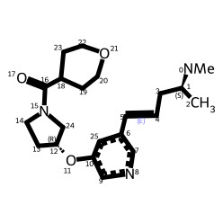 CN[C@@H](C)C/C=C/c1cncc(O[C@@H]2CCN(C(=O)C3CCOCC3)C2)c1